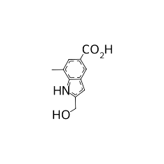 Cc1cc(C(=O)O)cc2cc(CO)[nH]c12